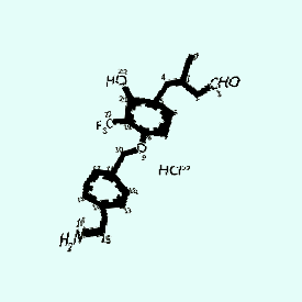 CC(CC=O)Cc1ccc(OCc2ccc(CN)cc2)c(C(F)(F)F)c1O.Cl